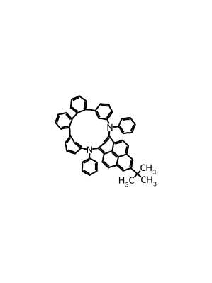 CC(C)(C)c1cc2ccc3c4cc(c5ccc(c1)c2c35)N(c1ccccc1)c1cccc(c1)-c1ccccc1-c1ccccc1-c1cccc(c1)N4c1ccccc1